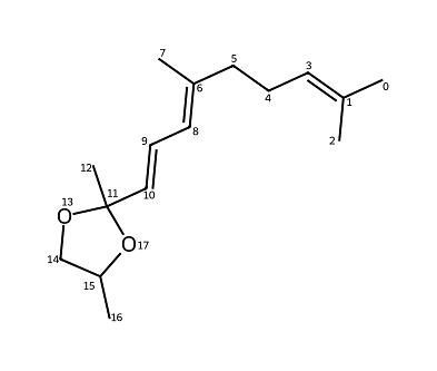 CC(C)=CCC/C(C)=C/C=C/C1(C)OCC(C)O1